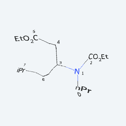 CCCN(C(=O)OCC)C(CC(=O)OCC)CC(C)C